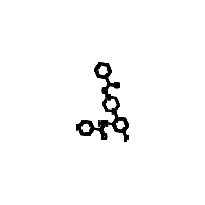 O=C(Nc1cc(F)ccc1N1CCN(OC(=O)c2ccccc2)CC1)c1ccncc1